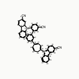 N#CC1=CC2C(C=C1)c1ccccc1N2c1ccc(C#N)cc1-c1cccc(C2=CC=C(n3c4c#cccc4c4cc(C#N)ccc43)CC=C2)c1